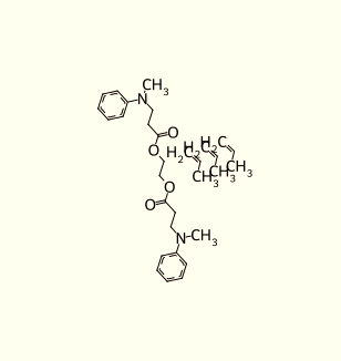 C=CC.C=CC.C=CC.CN(CCC(=O)OCCOC(=O)CCN(C)c1ccccc1)c1ccccc1